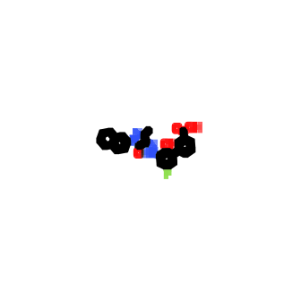 CC1=NN(c2ccc3c(c2)CCCC3)C(=O)C1=NNc1cc(F)cc(-c2cccc(C(=O)O)c2)c1O